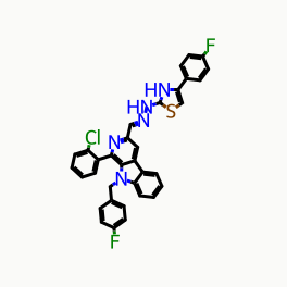 Fc1ccc(Cn2c3ccccc3c3cc(C=NNC4NC(c5ccc(F)cc5)=CS4)nc(-c4ccccc4Cl)c32)cc1